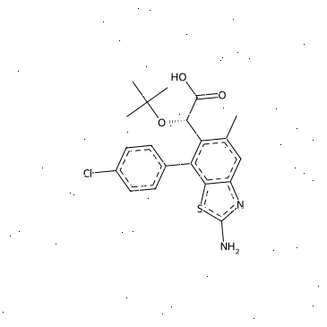 Cc1cc2nc(N)sc2c(-c2ccc(Cl)cc2)c1[C@H](OC(C)(C)C)C(=O)O